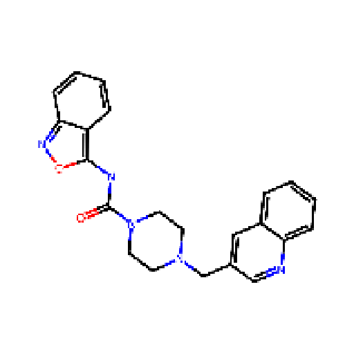 O=C(Nc1onc2ccccc12)N1CCN(Cc2cnc3ccccc3c2)CC1